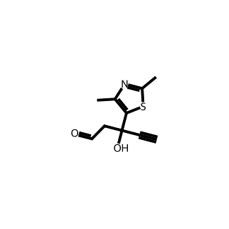 C#CC(O)(CC=O)c1sc(C)nc1C